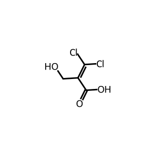 O=C(O)C(CO)=C(Cl)Cl